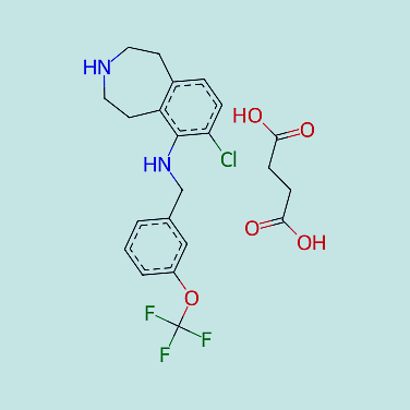 FC(F)(F)Oc1cccc(CNc2c(Cl)ccc3c2CCNCC3)c1.O=C(O)CCC(=O)O